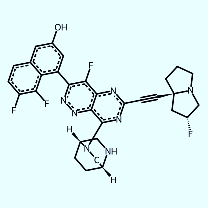 Oc1cc(-c2nnc3c(N4C[C@H]5CC[C@@H]4CN5)nc(C#C[C@@]45CCCN4C[C@H](F)C5)nc3c2F)c2c(F)c(F)ccc2c1